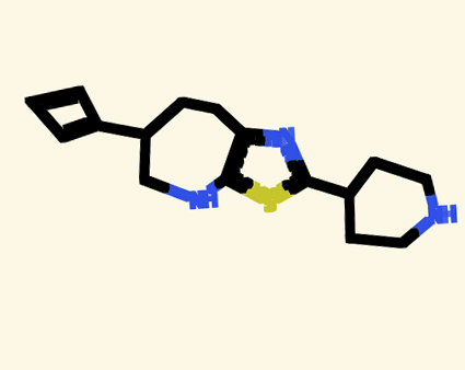 C1=CC(C2CCc3nc(C4CCNCC4)sc3NC2)=C1